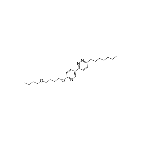 CCCCCCCc1ccc(-c2ccc(OCCCCOCCCC)nc2)nn1